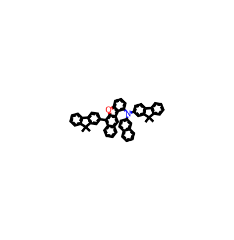 CC1(C)c2ccccc2-c2ccc(-c3c4ccccc4cc4c3oc3cccc(N(c5ccc6c(c5)C(C)(C)c5ccccc5-6)c5ccc6ccccc6c5)c34)cc21